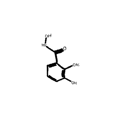 CC(=O)Oc1c(O)cccc1C(=O)NO